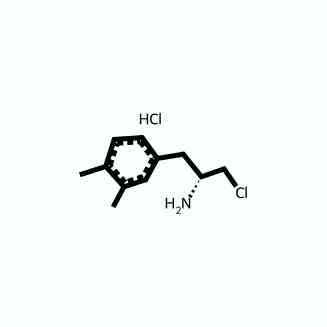 Cc1ccc(C[C@@H](N)CCl)cc1C.Cl